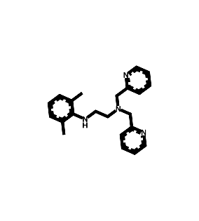 Cc1cccc(C)c1NCCN(Cc1ccccn1)Cc1ccccn1